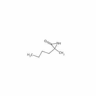 CCCCC1(C)NC1=O